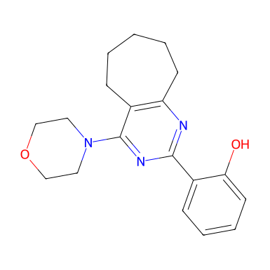 Oc1ccccc1-c1nc2c(c(N3CCOCC3)n1)CCCCC2